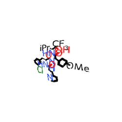 COc1ccc([C@H](NC(=O)[C@H](Cc2cccc(Cl)c2)NC(=O)CCc2ccccn2)C(=O)N[C@@H](C(C)C)[C@H](O)C(F)(F)F)cc1